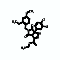 CCOC(=O)C1=NNC2(c3ccc(Cl)c(Cl)c3)C(=O)N(Cc3ccc(OC)cc3OC)C(=O)C12